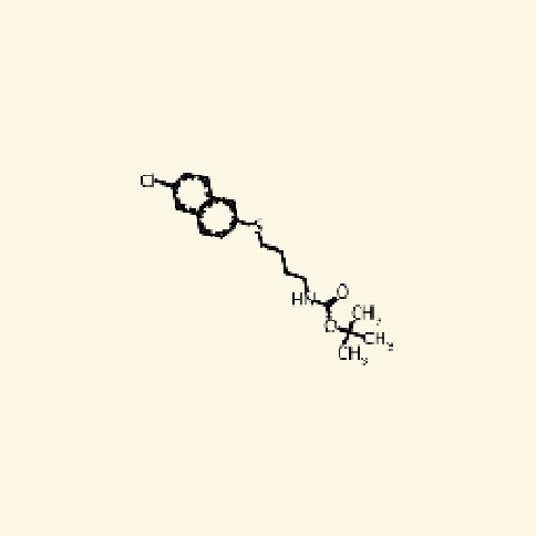 CC(C)(C)OC(=O)NCCCCSc1ccc2cc(Cl)ccc2c1